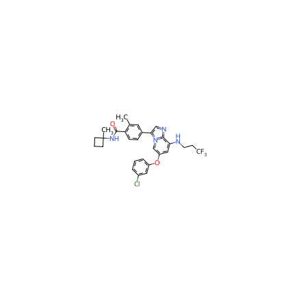 Cc1cc(-c2cnc3c(NCCC(F)(F)F)cc(Oc4cccc(Cl)c4)cn23)ccc1C(=O)NC1(C)CCC1